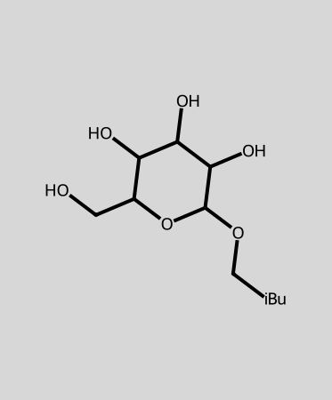 CCC(C)COC1OC(CO)C(O)C(O)C1O